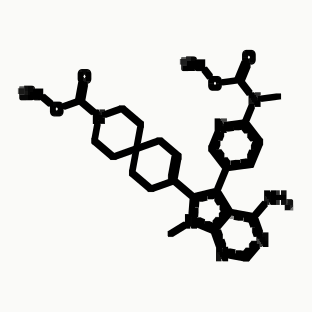 CN(C(=O)OC(C)(C)C)c1ccc(-c2c(C3=CCC4(CC3)CCN(C(=O)OC(C)(C)C)CC4)n(C)c3ncnc(N)c23)cn1